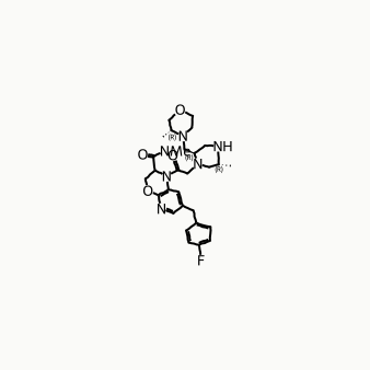 CNC(=O)C1COc2ncc(Cc3ccc(F)cc3)cc2N1C(=O)CN1C[C@@H](C)NC[C@@H]1CN1CCOC[C@H]1C